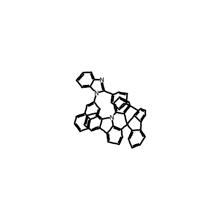 c1ccc2c(c1)-c1cccc(-c3ccc(-c4nc5ccccc5n4-c4ccc5ccccc5c4)cc3)c1C21c2ccccc2-n2c3ccccc3c3cccc1c32